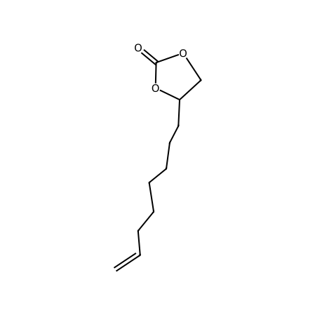 C=CCCCCCCC1COC(=O)O1